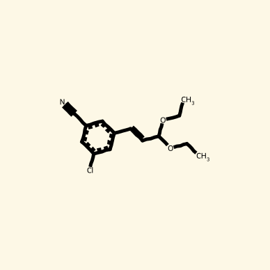 CCOC(C=Cc1cc(Cl)cc(C#N)c1)OCC